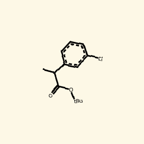 CC(C(=O)OC(C)(C)C)c1cccc(Cl)c1